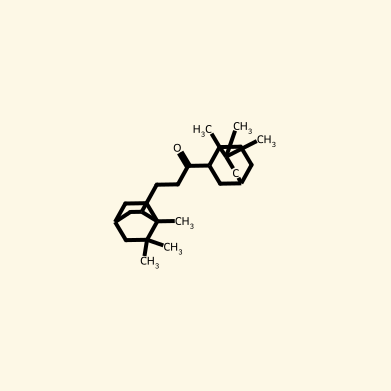 CC1(C)CC2CCC1(C)C(CCC(=O)C1CC3CCC1(C)C(C)(C)C3)C2